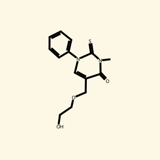 Cn1c(=O)c(COCCO)cn(-c2ccccc2)c1=S